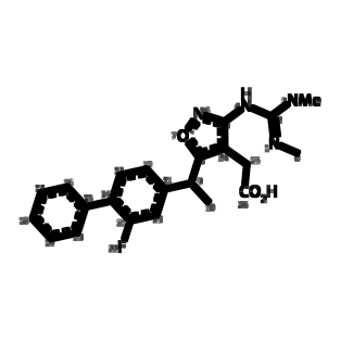 CN=C(NC)Nc1noc(C(C)c2ccc(-c3ccccc3)c(F)c2)c1CC(=O)O